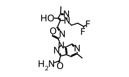 Cc1cc2c(C(N)=O)nn(-c3coc(-c4c(O)c(C)nn4CCC(F)F)n3)c2cn1